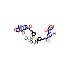 O=C(/C=C/c1ccc(Sc2ccc(/C=C/C(=O)N3CCNC(C(=O)N4CCOCC4)C3)cc2[N+](=O)[O-])c([N+](=O)[O-])c1)N1CCNC(C(=O)N2CCOCC2)C1